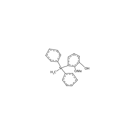 COc1c(O)cccc1[Si](C)(c1ccccc1)c1ccccc1